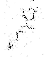 OCCCCCC(O)C1=CCCCC1